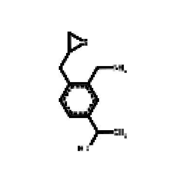 CC(C)c1ccc(CC2CS2)c(CN)c1